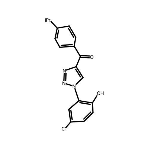 CC(C)c1ccc(C(=O)c2cn(-c3cc(Cl)ccc3O)nn2)cc1